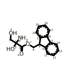 NC(O)(CO)C(=O)OCC1c2ccccc2-c2ccccc21